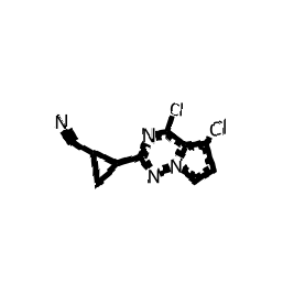 N#CC1CC1c1nc(Cl)c2c(Cl)ccn2n1